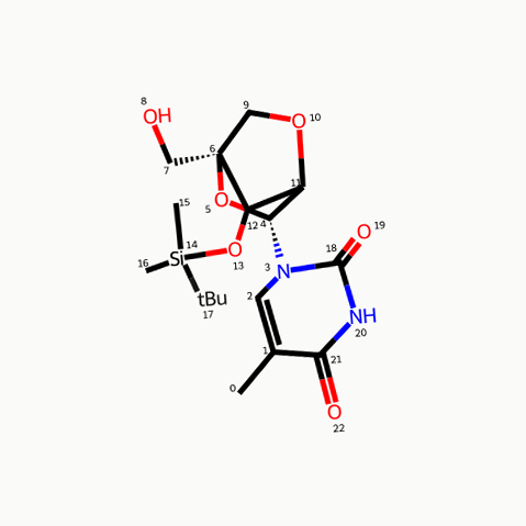 Cc1cn([C@@H]2O[C@@]3(CO)COC2C3O[Si](C)(C)C(C)(C)C)c(=O)[nH]c1=O